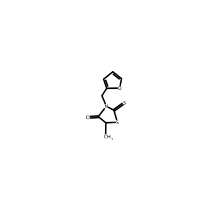 CC1SC(=S)N(Cc2ccco2)C1=O